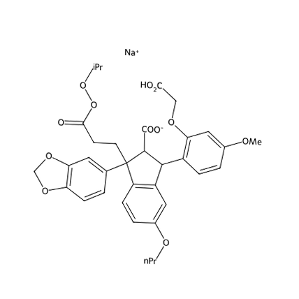 CCCOc1ccc2c(c1)C(c1ccc(OC)cc1OCC(=O)O)C(C(=O)[O-])C2(CCC(=O)OOC(C)C)c1ccc2c(c1)OCO2.[Na+]